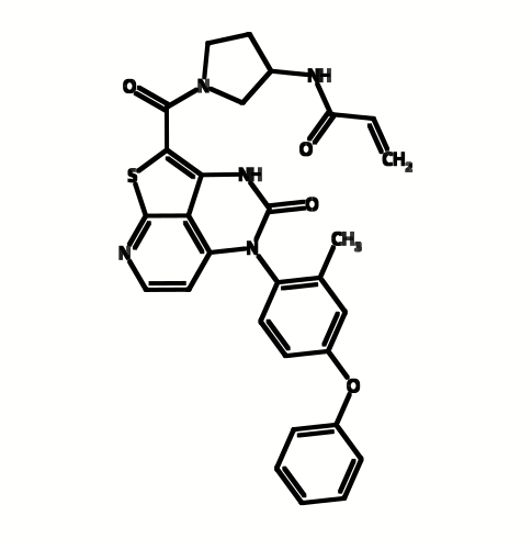 C=CC(=O)NC1CCN(C(=O)c2sc3nccc4c3c2NC(=O)N4c2ccc(Oc3ccccc3)cc2C)C1